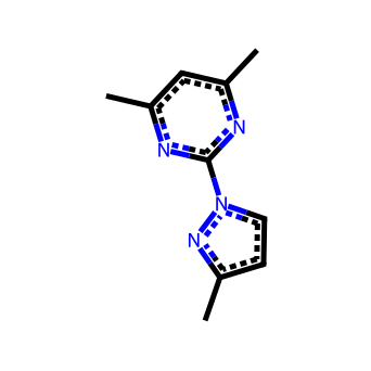 Cc1cc(C)nc(-n2ccc(C)n2)n1